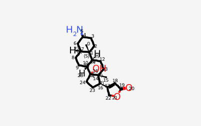 C[C@]12CCC(N)C[C@H]1CC[C@@H]1[C@@H]2CC[C@]2(C)[C@@H](C3=CC(=O)OC3)CC[C@]12O